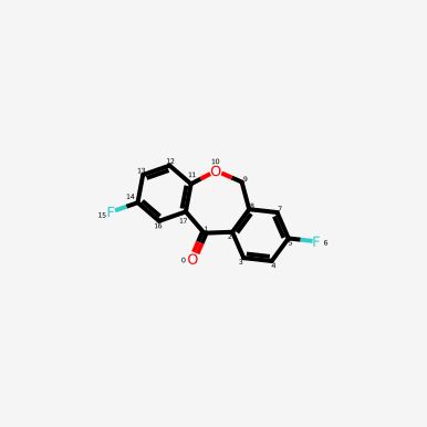 O=C1c2ccc(F)cc2COc2ccc(F)cc21